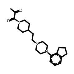 CC(=O)C(=O)N1CCC(CCN2CCN(c3cccc4c3CCC4)CC2)CC1